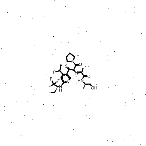 CC[C@H](Nc1cc(C(F)F)c(C(=S)C(/N=C(\C)C(=O)N[C@H](C)CO)C(=O)N2CCC[C@@H]2C)cn1)C(F)(F)F